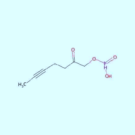 CC#CCCC(=O)CO[PH](=O)O